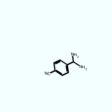 N#Cc1ccc(C(N)N)cc1